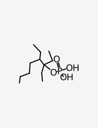 CCCCC(CC)C(CC)(CC)OP(=O)(O)O